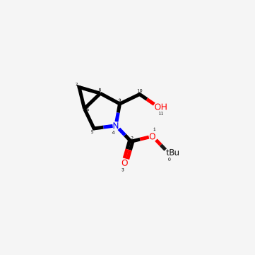 CC(C)(C)OC(=O)N1CC2CC2C1CO